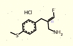 CSc1ccc(C/C(=C\F)CN)cc1.Cl